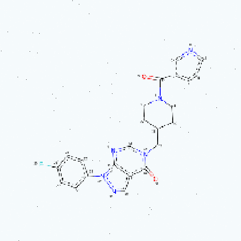 O=C(c1cccnc1)N1CCC(Cn2cnc3c(cnn3-c3ccc(F)cc3)c2=O)CC1